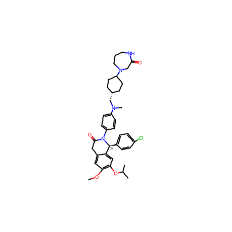 COc1cc2c(cc1OC(C)C)[C@H](c1ccc(Cl)cc1)N(c1ccc(N(C)C[C@H]3CC[C@H](N4CCCNC(=O)C4)CC3)cc1)C(=O)C2